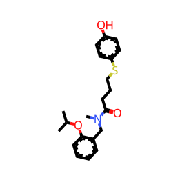 CC(C)Oc1ccccc1CN(C)C(=O)CCCSc1ccc(O)cc1